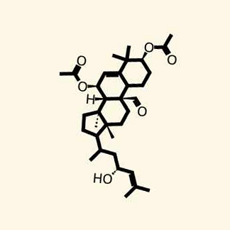 CC(=O)O[C@H]1C=C2C(CC[C@H](OC(C)=O)C2(C)C)[C@]2(C=O)CC[C@]3(C)C(C(C)C[C@@H](O)C=C(C)C)CC[C@@]3(C)[C@H]12